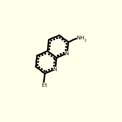 CCc1ccc2ccc(N)nc2n1